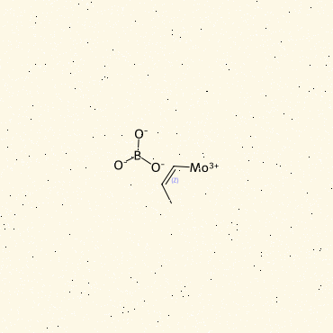 C/C=[CH]\[Mo+3].[O-]B([O-])[O-]